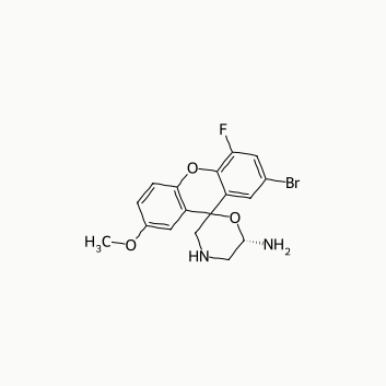 COc1ccc2c(c1)C1(CNC[C@@H](N)O1)c1cc(Br)cc(F)c1O2